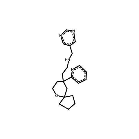 c1ccc(C2(CCNCc3cncnc3)CCOC3(CCCC3)C2)nc1